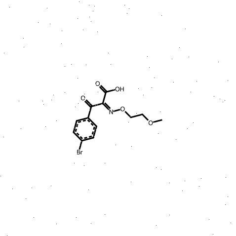 COCCON=C(C(=O)O)C(=O)c1ccc(Br)cc1